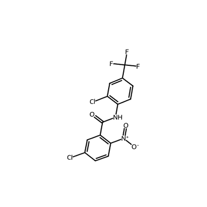 O=C(Nc1ccc(C(F)(F)F)cc1Cl)c1cc(Cl)ccc1[N+](=O)[O-]